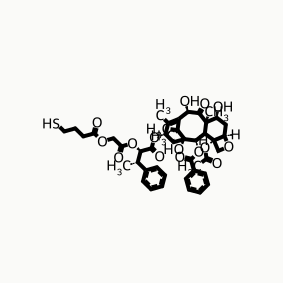 CC(=O)O[C@@]12CO[C@@H]1C[C@H](O)[C@@]1(C)C(=O)[C@H](O)C3=C(C)[C@@H](OC(=O)[C@H](OC(=O)COC(=O)CCCS)[C@@H](C)c4ccccc4)C[C@@](O)([C@@H](OC(=O)c4ccccc4)[C@H]21)C3(C)C